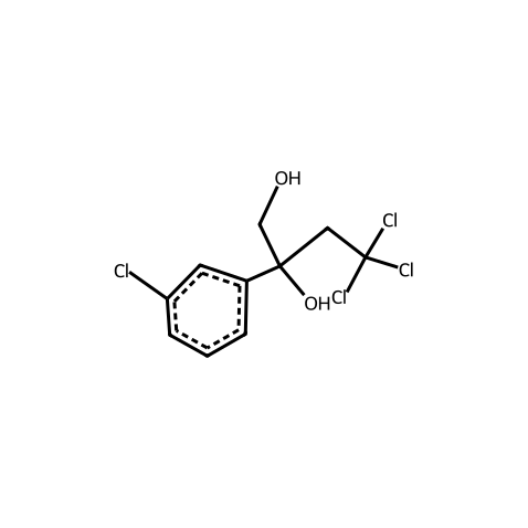 OCC(O)(CC(Cl)(Cl)Cl)c1cccc(Cl)c1